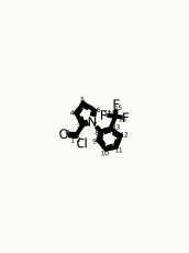 O=C(Cl)c1cccn1-c1ccccc1C(F)(F)F